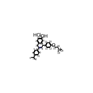 CC(C)c1ccc(/C(=C/Cc2ccc(OCCN(C)C)cc2)Cc2ccc(O)cc2)cc1.Cl